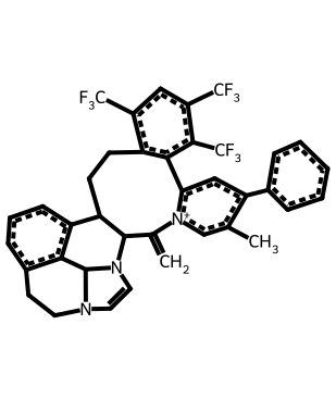 C=C1C2C(CCc3c(C(F)(F)F)cc(C(F)(F)F)c(C(F)(F)F)c3-c3cc(-c4ccccc4)c(C)c[n+]31)c1cccc3c1C1N(C=CN21)CC3